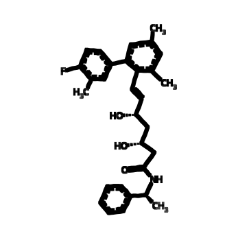 Cc1cc(C)c(C=C[C@@H](O)C[C@@H](O)CC(=O)N[C@@H](C)c2ccccc2)c(-c2ccc(F)c(C)c2)c1